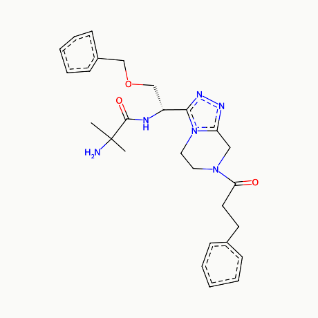 CC(C)(N)C(=O)N[C@H](COCc1ccccc1)c1nnc2n1CCN(C(=O)CCc1ccccc1)C2